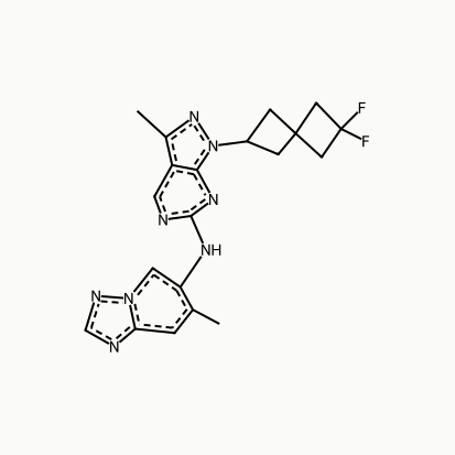 Cc1cc2ncnn2cc1Nc1ncc2c(C)nn(C3CC4(C3)CC(F)(F)C4)c2n1